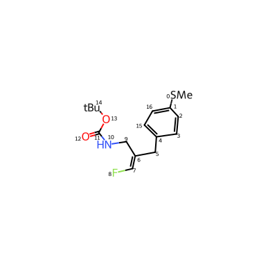 CSc1ccc(CC(=CF)CNC(=O)OC(C)(C)C)cc1